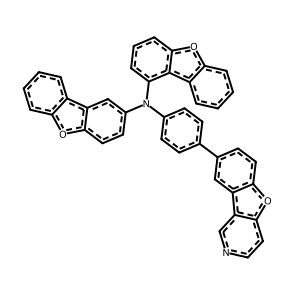 c1ccc2c(c1)oc1ccc(N(c3ccc(-c4ccc5oc6ccncc6c5c4)cc3)c3cccc4oc5ccccc5c34)cc12